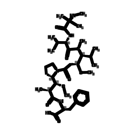 CNC(C)(C)C(=O)N[C@H](C(=O)N(C)[C@@H](C(C)C)[C@@H](CC(=O)N1CCC[C@H]1[C@H](OC)[C@@H](C)C(=O)N[C@@H](Cc1ccccc1)C(=O)O)OC)C(C)C